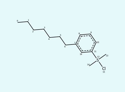 CCCCCCCc1cccc(S(C)(C)Cl)c1